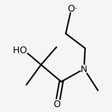 CN(CC[O])C(=O)C(C)(C)O